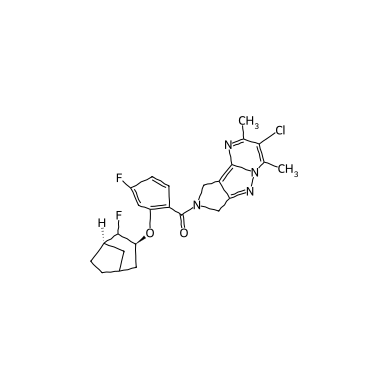 Cc1nc2c3c(nn2c(C)c1Cl)CN(C(=O)c1ccc(F)cc1O[C@H]1CC2CC[C@H](C2)C1F)C3